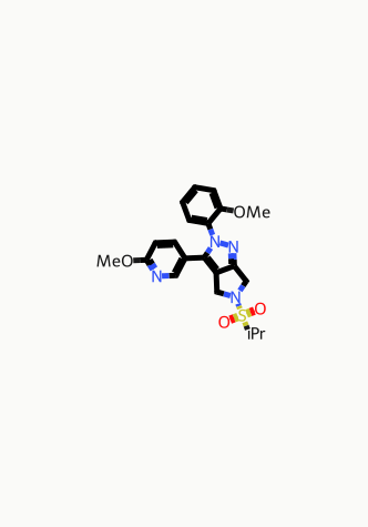 COc1ccc(-c2c3c(nn2-c2ccccc2OC)CN(S(=O)(=O)C(C)C)C3)cn1